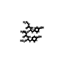 NCC(=O)NC(Cc1ccc(O)cc1)C(=O)O.NCC(=O)N[C@@H](Cc1ccc(O)cc1)C(=O)O